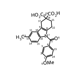 COc1ccc(C(=O)n2c3c(c4cc(C)ccc42)CC(C(=O)O)(C(=O)O)CC3)cc1